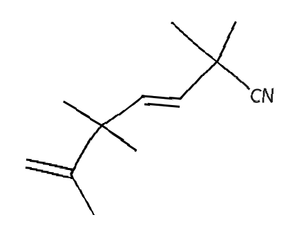 C=C(C)C(C)(C)/C=C/C(C)(C)C#N